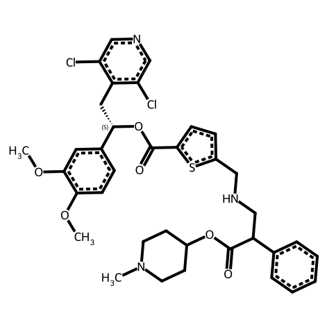 COc1ccc([C@H](Cc2c(Cl)cncc2Cl)OC(=O)c2ccc(CNCC(C(=O)OC3CCN(C)CC3)c3ccccc3)s2)cc1OC